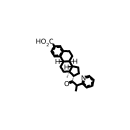 CC(C(=O)[C@H]1CC[C@H]2[C@@H]3CCc4cc(C(=O)O)ccc4[C@H]3CC[C@]12C)c1ccccn1